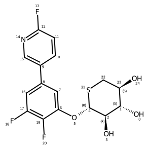 O[C@@H]1[C@@H](O)[C@H](Oc2cc(-c3ccc(F)nc3)cc(F)c2F)SC[C@H]1O